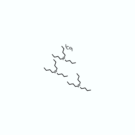 CCCCP(CCCC)CCCC.CCCCP(CCCC)CCCC.CCCCP(CCCC)CCCC.[I][Co][I]